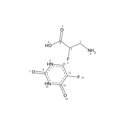 NCC(F)C(=O)O.O=c1[nH]cc(F)c(=O)[nH]1